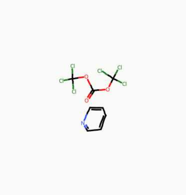 O=C(OC(Cl)(Cl)Cl)OC(Cl)(Cl)Cl.c1ccncc1